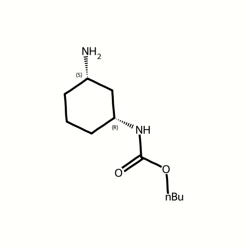 CCCCOC(=O)N[C@@H]1CCC[C@H](N)C1